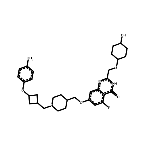 Nc1ccc(OC2CC(CN3CCC(COc4cc(F)c5c(=O)[nH]c(CSC6CCC(O)CC6)nc5c4)CC3)C2)cc1